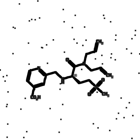 C=CCN(CC=C)C(=O)[C@@H](CCS(C)(=O)=O)NCc1cc(C(=O)O)ccn1